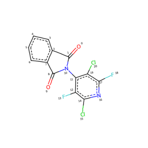 O=C1c2ccccc2C(=O)N1c1c(F)c(Cl)nc(F)c1Cl